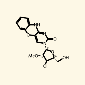 CO[C@H]1C(O)[C@@H](CO)O[C@H]1n1cc2c(nc1=O)Nc1ccccc1O2